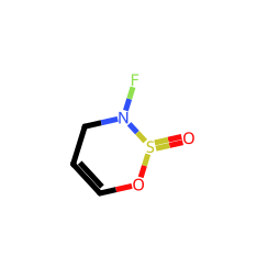 O=S1OC=CCN1F